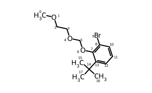 COCCOCOc1c(Br)cccc1C(C)(C)C